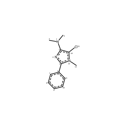 CN(C)c1nc(-c2ccccc2)n(C)c1Cl